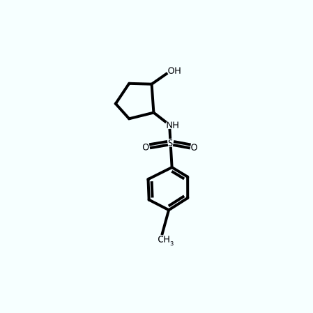 Cc1ccc(S(=O)(=O)NC2CCCC2O)cc1